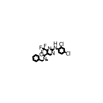 CN(Cc1ccccc1)C(=O)c1cnc(Nc2ccc(Cl)cc2Cl)nc1C(F)(F)F